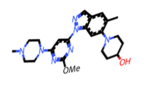 COc1nc(N2CCN(C)CC2)cc(-n2ncc3cc(C)c(N4CCC(O)CC4)cc32)n1